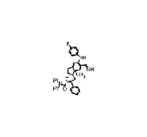 CC(C)N(C(=O)NC(C[C@H]1CCC2=CC(Nc3ccc(F)cc3)=C(C=N)C[C@@]21C)c1ccccc1)C(C)C